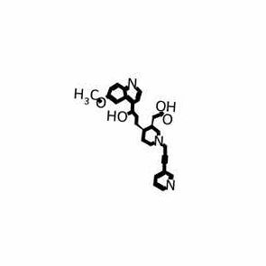 COc1ccc2nccc(C(O)CC[C@@H]3CCN(CC#Cc4cccnc4)C[C@@H]3CC(=O)O)c2c1